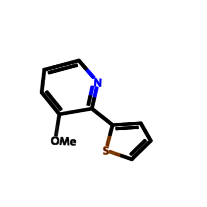 COc1cccnc1-c1cccs1